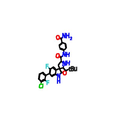 CC(C)(C)CC1NC(C(=O)Nc2ccc(C(N)=O)cc2)CC12C(=O)Nc1cc(-c3cccc(Cl)c3F)c(F)cc12